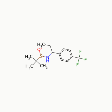 CCC(N[S+]([O-])C(C)(C)C)c1ccc(C(F)(F)F)cc1